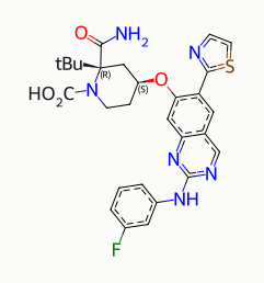 CC(C)(C)[C@@]1(C(N)=O)C[C@@H](Oc2cc3nc(Nc4cccc(F)c4)ncc3cc2-c2nccs2)CCN1C(=O)O